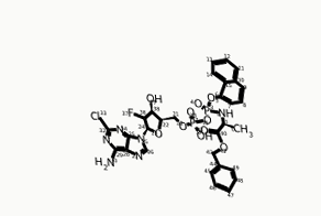 C[C@H](NP(=O)(Oc1cccc2ccccc12)OP(=O)(O)OC[C@H]1O[C@@H](n2cnc3c(N)nc(Cl)nc32)C(F)[C@H]1O)C(=O)OCc1ccccc1